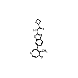 CC1=C(c2ccc3nc(NC(=O)C4CCC4)sc3c2)C=NC=CC1F